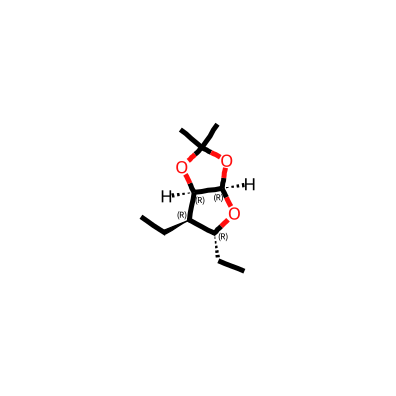 CC[C@H]1[C@H]2OC(C)(C)O[C@H]2O[C@@H]1CC